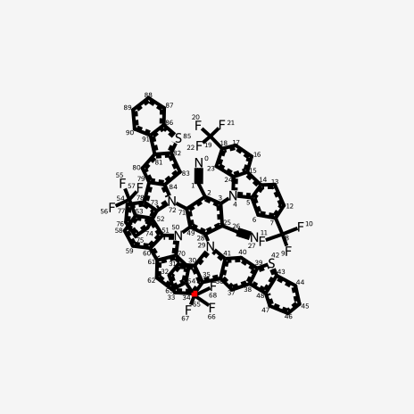 N#Cc1c(-n2c3cc(C(F)(F)F)ccc3c3ccc(C(F)(F)F)cc32)c(C#N)c(-n2c3ccccc3c3cc4c(cc32)sc2ccccc24)c(-n2c3cc(C(F)(F)F)ccc3c3ccc(C(F)(F)F)cc32)c1-n1c2ccccc2c2cc3c(cc21)sc1ccccc13